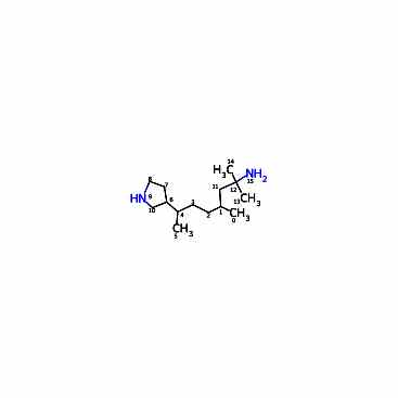 CC(CCC(C)C1CCNC1)CC(C)(C)N